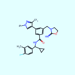 Cc1cc(C(NC(=O)c2cc(CN3CCOC3=N)cc(-c3cn(C(C)C)nc3C(F)(F)F)c2)C2CC2)ccc1F